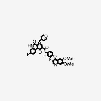 COc1cc2nccc(Oc3ccc(NC(=O)c4cn(CC5CCOCC5)c5c(=O)[nH]c6cc(F)ccc6c5c4=O)cc3F)c2cc1OC